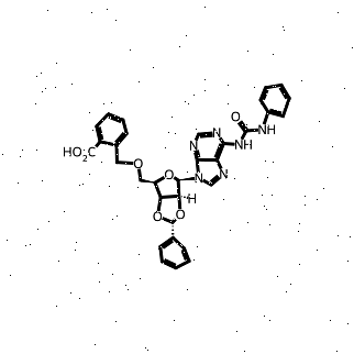 O=C(Nc1ccccc1)Nc1ncnc2c1ncn2[C@@H]1O[C@H](COCc2ccccc2C(=O)O)C2O[C@@H](c3ccccc3)O[C@@H]21